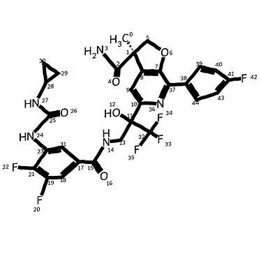 C[C@]1(C(N)=O)COc2c1cc(C(O)(CNC(=O)c1cc(F)c(F)c(NC(=O)NC3CC3)c1)C(F)(F)F)nc2-c1ccc(F)cc1